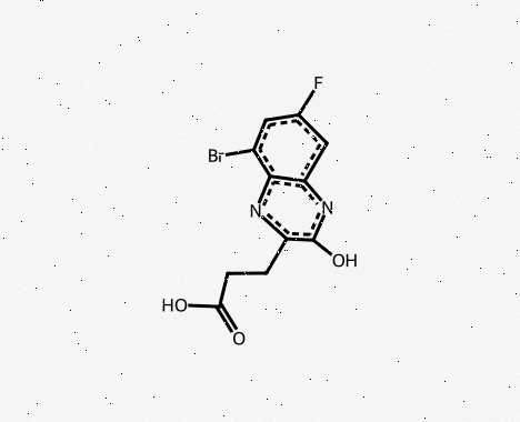 O=C(O)CCc1nc2c(Br)cc(F)cc2nc1O